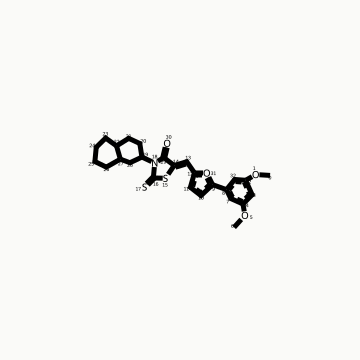 COc1cc(OC)cc(-c2ccc(C=C3SC(=S)N(C4CCC5CCCCC5C4)C3=O)o2)c1